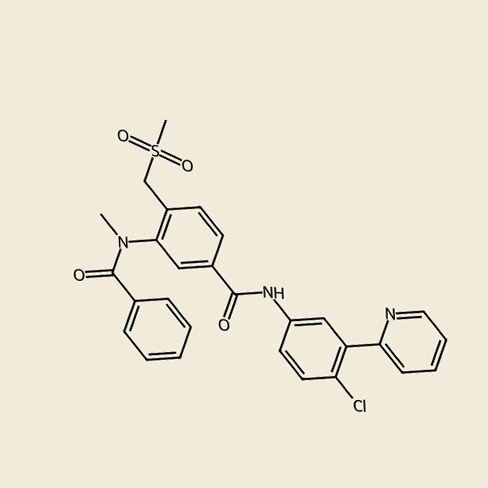 CN(C(=O)c1ccccc1)c1cc(C(=O)Nc2ccc(Cl)c(-c3ccccn3)c2)ccc1CS(C)(=O)=O